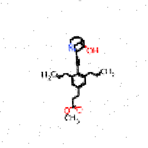 C=CCc1cc(CCC(=O)OC)cc(CC=C)c1C#CC1C(O)C2CCN1CC2